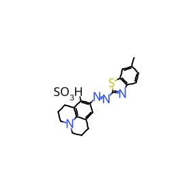 Cc1ccc2nc(N=Nc3cc4c5c(c3S(=O)(=O)O)CCCN5CCC4)sc2c1